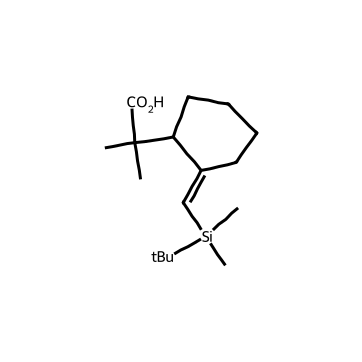 CC(C)(C(=O)O)C1CCCC/C1=C\[Si](C)(C)C(C)(C)C